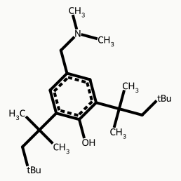 CN(C)Cc1cc(C(C)(C)CC(C)(C)C)c(O)c(C(C)(C)CC(C)(C)C)c1